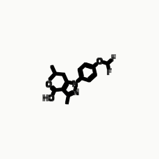 Cc1nn(-c2ccc(OC(F)F)cc2)c(CC(C)C)c1C(=O)O